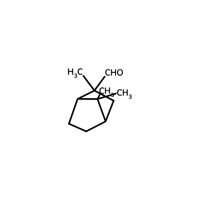 CC1(C=O)CC2CCC1C2(C)C